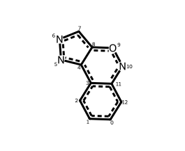 c1ccc2c3nncc-3onc2c1